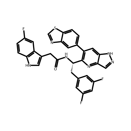 O=C(Cc1c[nH]c2ccc(F)cc12)N[C@@H](Cc1cc(F)cc(F)c1)c1nc2cn[nH]c2cc1-c1ccc2scnc2c1